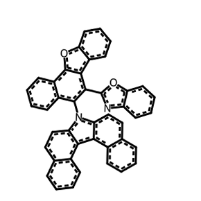 c1ccc2c(c1)ccc1c2c2c3ccccc3ccc2n1-c1c(-c2nc3ccccc3o2)c2c3ccccc3oc2c2ccccc12